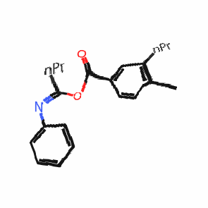 CCCC(=Nc1ccccc1)OC(=O)c1ccc(C)c(CCC)c1